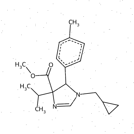 COC(=O)C1(C(C)C)N=CN(CC2CC2)C1c1ccc(C)cc1